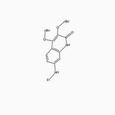 CCCCOc1c(OCCCC)c2ccc(NCC)cc2[nH]c1=O